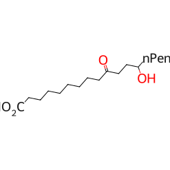 CCCCCC(O)CCC(=O)CCCCCCCCC(=O)O